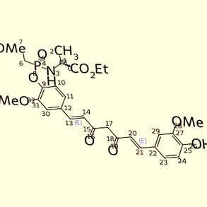 CCOC(=O)[C@H](C)NP(=O)(COC)Oc1ccc(/C=C/C(=O)CC(=O)/C=C/c2ccc(O)c(OC)c2)cc1OC